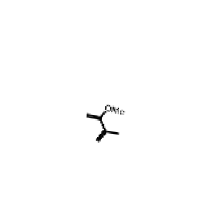 C=C(C)C(=C)OC